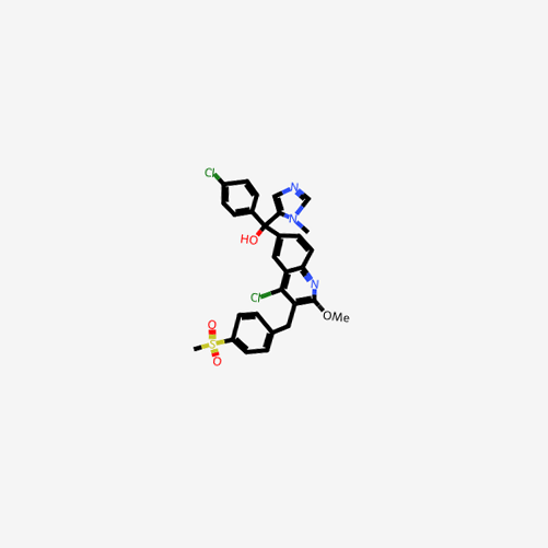 COc1nc2ccc(C(O)(c3ccc(Cl)cc3)c3cncn3C)cc2c(Cl)c1Cc1ccc(S(C)(=O)=O)cc1